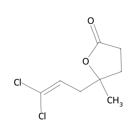 CC1(CC=C(Cl)Cl)CCC(=O)O1